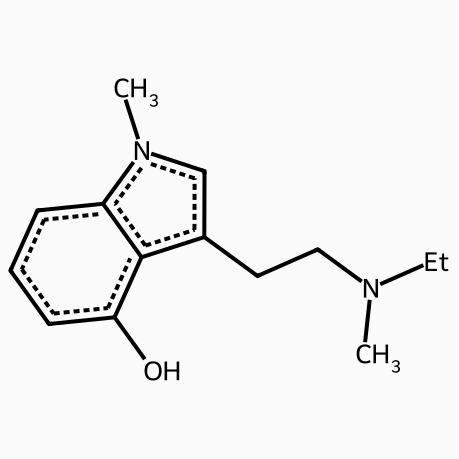 CCN(C)CCc1cn(C)c2cccc(O)c12